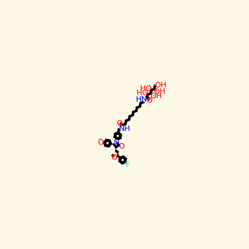 COc1ccc([C@@H]2[C@@H](CC[C@H](OC)c3ccc(F)cc3)C(=O)N2c2ccc(CNC(=O)CCCCCCCCCCCNC(=O)[C@H](O)[C@@H](O)[C@H](O)[C@H](O)CO)cc2)cc1